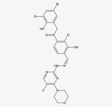 O=C(Cc1cc(Br)cc(Cl)c1O)c1ccc(/C=N\Nc2ncc(F)c(N3CCOCC3)n2)c(O)c1Cl